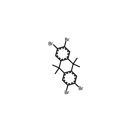 CC1(C)c2cc(Br)c(Br)cc2C(C)(C)c2cc(Br)c(Br)cc21